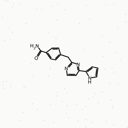 NC(=O)c1ccc(Cc2nccc(-c3ccc[nH]3)n2)cc1